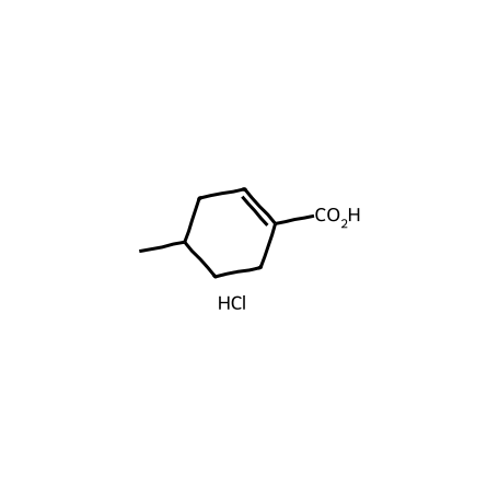 CC1CC=C(C(=O)O)CC1.Cl